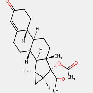 CC(=O)O[C@]1(C(C)=O)[C@H]2C[C@H]2[C@H]2[C@@H]3CCC4=CC(=O)CC[C@@H]4[C@H]3CC[C@@]21C